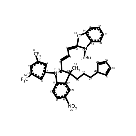 CCCCN1/C(=C\C=C\C2=[N+](c3cc(C(F)(F)F)cc(C(F)(F)F)c3)c3ccc([N+](=O)[O-])cc3C2(C)CCCC2C=CC=C2)Oc2ccccc21